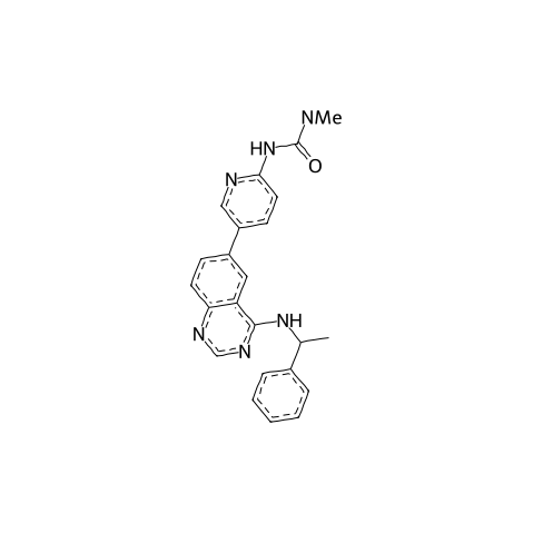 CNC(=O)Nc1ccc(-c2ccc3ncnc(NC(C)c4ccccc4)c3c2)cn1